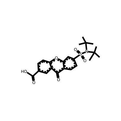 CC(C)(C)N(C(C)(C)C)S(=O)(=O)c1ccc2c(=O)c3cc(C(=O)O)ccc3oc2c1